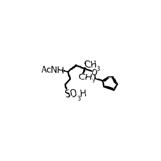 CC(=O)NC(CCS(=O)(=O)O)CC(C)(C)OCc1ccccc1